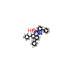 OC1c2cc(-c3ccccc3)cc3c(-c4ccccc4)ccc(c23)-c2nc3c(-c4ccccc4)cccc3n21